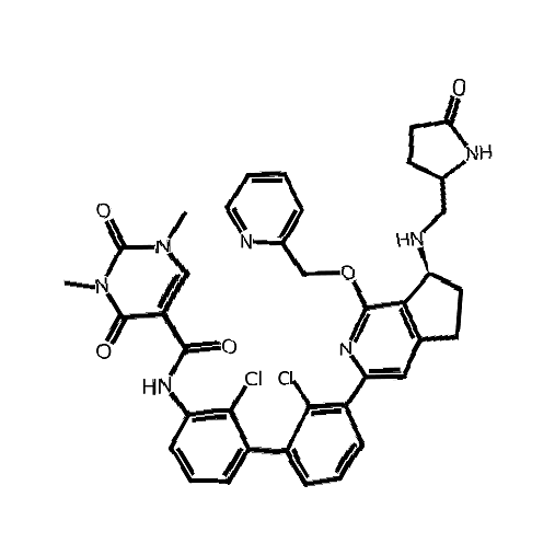 Cn1cc(C(=O)Nc2cccc(-c3cccc(-c4cc5c(c(OCc6ccccn6)n4)[C@@H](NCC4CCC(=O)N4)CC5)c3Cl)c2Cl)c(=O)n(C)c1=O